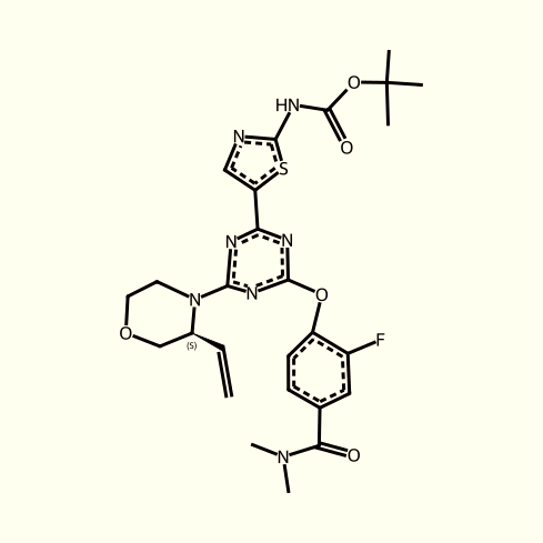 C=C[C@H]1COCCN1c1nc(Oc2ccc(C(=O)N(C)C)cc2F)nc(-c2cnc(NC(=O)OC(C)(C)C)s2)n1